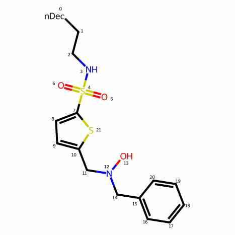 CCCCCCCCCCCCNS(=O)(=O)c1ccc(CN(O)Cc2ccccc2)s1